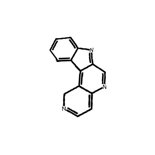 C1=NCc2c3c(cnc2=C1)=Nc1ccccc1-3